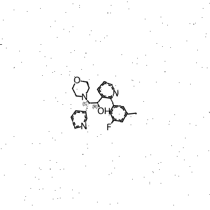 Cc1cc(F)cc(-c2ncccc2[C@@H](O)[C@H](c2cccnc2)N2CCOCC2)c1